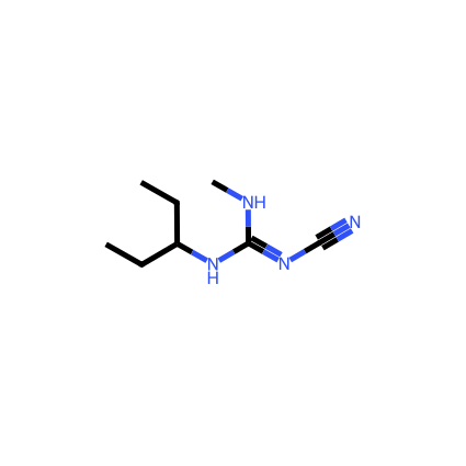 CCC(CC)N/C(=N/C#N)NC